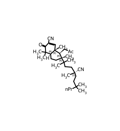 CCCC(C)(C)CC[C@](C)(C#N)CCC(C)(C)[C@]1(C)CC[C@H]2C(C)(C)C(=O)C(C#N)=C[C@]2(C)[C@H]1CC(C)=O